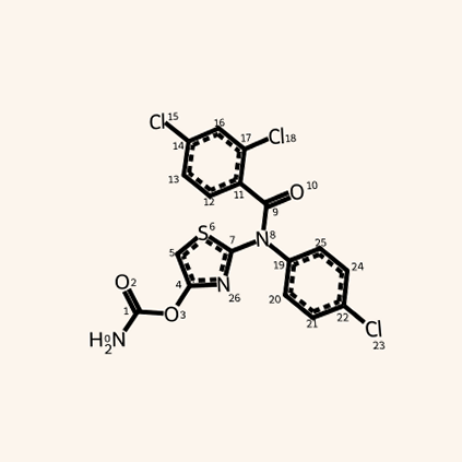 NC(=O)Oc1csc(N(C(=O)c2ccc(Cl)cc2Cl)c2ccc(Cl)cc2)n1